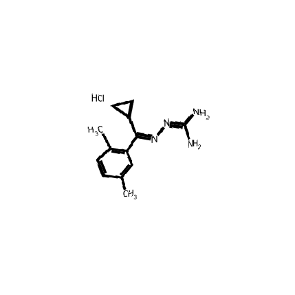 Cc1ccc(C)c(/C(=N/N=C(N)N)C2CC2)c1.Cl